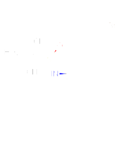 CC(C)(C)[S@@+]([O-])N[C@H](c1ccccc1)c1ccc(Br)cc1